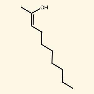 CCCCCCCC=C(C)O